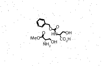 COC(=O)[C@@H](N)CO.O=C(N[C@@H](CO)C(=O)O)OCc1ccccc1